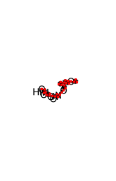 O=C1CCN(c2ccc(OCC(=O)N3CCN(CCCCOc4ccc([C@@H]5c6ccc(OCc7ccccc7)cc6CC[C@@H]5c5ccccc5)cc4)CC3)cc2)C(=O)N1